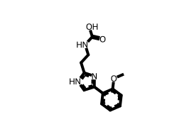 COc1ccccc1-c1c[nH]c(CCNC(=O)O)n1